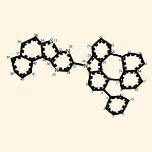 c1ccc(-c2ccc3c4c2-c2cccc5cccc(c25)-c2cccc(c24)n3-c2cnc3c(n2)sc2ccc4ccccc4c23)cc1